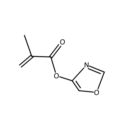 C=C(C)C(=O)Oc1cocn1